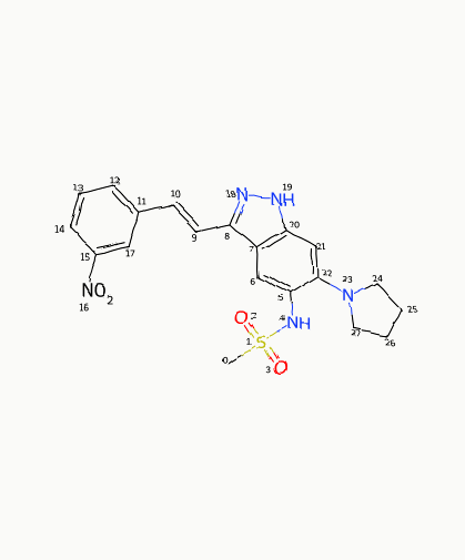 CS(=O)(=O)Nc1cc2c(C=Cc3cccc([N+](=O)[O-])c3)n[nH]c2cc1N1CCCC1